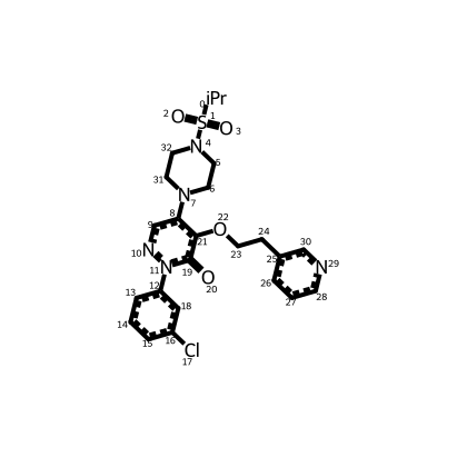 CC(C)S(=O)(=O)N1CCN(c2cnn(-c3cccc(Cl)c3)c(=O)c2OCCc2cccnc2)CC1